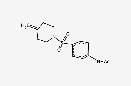 C=C1CCN(S(=O)(=O)c2ccc(NC(C)=O)cc2)CC1